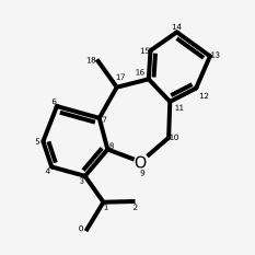 CC(C)c1cccc2c1OCc1ccccc1C2C